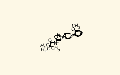 COc1ccccc1N1CCN([n+]2cc([N-]C(=O)C(C)(C)C)on2)CC1